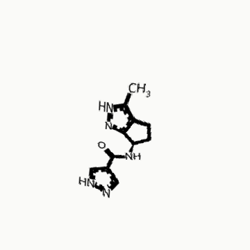 Cc1[nH]nc2c1CC[C@H]2NC(=O)c1cn[nH]c1